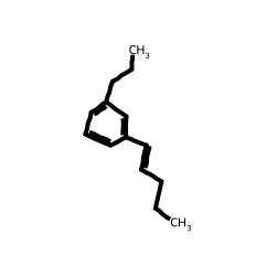 CCCC=Cc1cccc(CCC)c1